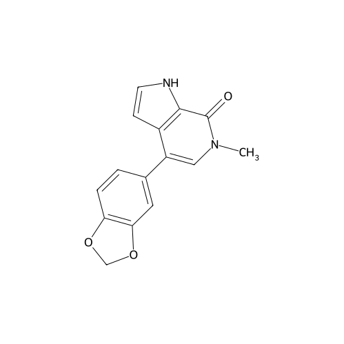 Cn1cc(-c2ccc3c(c2)OCO3)c2cc[nH]c2c1=O